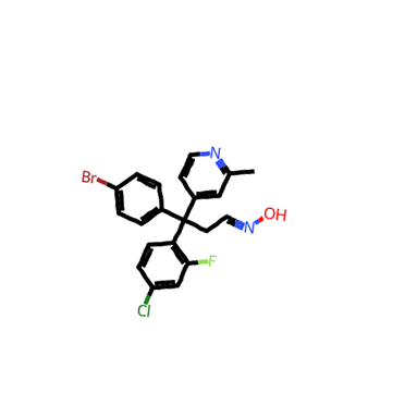 Cc1cc(C(CC=NO)(c2ccc(Br)cc2)c2ccc(Cl)cc2F)ccn1